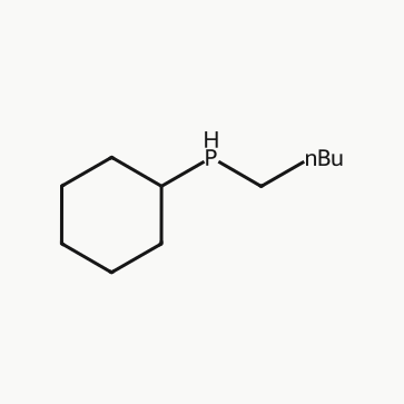 CCCCCPC1CCCCC1